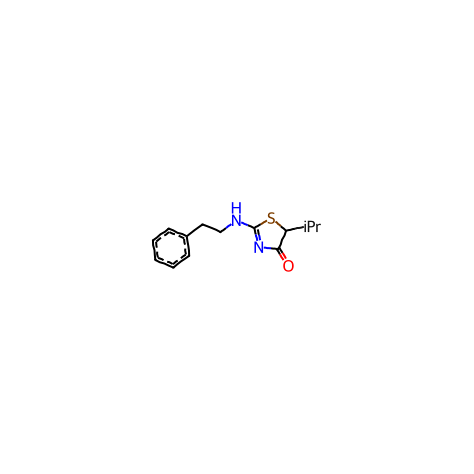 CC(C)C1SC(NCCc2ccccc2)=NC1=O